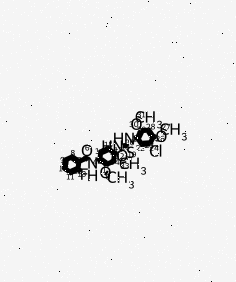 COC1=C(NC(=O)c2ccccc2F)C=CC(NC(=S)Nc2cc(Cl)c(OC)cc2OC)(OC)C1